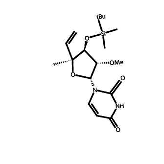 C=C[C@]1(C)O[C@@H](n2ccc(=O)[nH]c2=O)[C@@H](OC)[C@@H]1O[Si](C)(C)C(C)(C)C